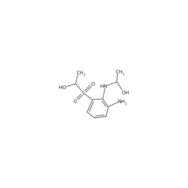 CC(O)Nc1c(N)cccc1S(=O)(=O)C(C)O